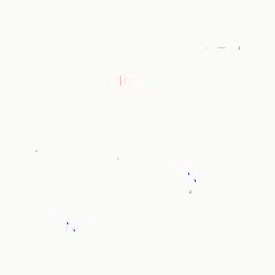 O=Cc1ccnc(-c2cccnc2)c1O